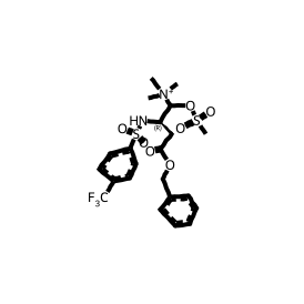 C[N+](C)(C)C(OS(C)(=O)=O)[C@@H](CC(=O)OCc1ccccc1)NS(=O)(=O)c1ccc(C(F)(F)F)cc1